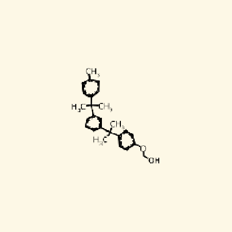 Cc1ccc(C(C)(C)c2cccc(C(C)(C)c3ccc(OCO)cc3)c2)cc1